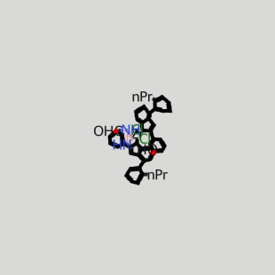 CCCc1ccccc1-c1cccc2c1C=C(c1ccccc1)[CH]2[Zr]([Cl])([Cl])([B](NC=O)NC=O)[CH]1C(c2ccccc2)=Cc2c(-c3ccccc3CCC)cccc21